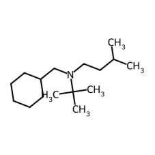 CC(C)CCN(CC1CCCCC1)C(C)(C)C